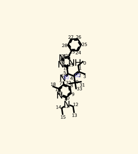 CC/C(C)=C(\C(=N/c1ccc(N(CC)CC)nc1C)c1nnc(-c2ccccc2)[nH]1)C(C)(C)C